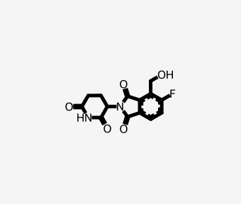 O=C1CCC(N2C(=O)c3ccc(F)c(CO)c3C2=O)C(=O)N1